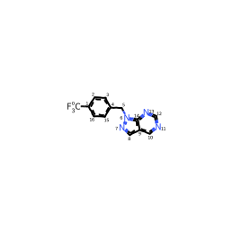 FC(F)(F)c1ccc(Cn2ncc3cncnc32)cc1